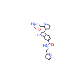 O=C(NCCc1ccccn1)c1ccc2c(-c3cccnc3C3CNCCO3)c[nH]c2c1